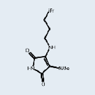 CNC1=C(NCCCC(C)C)C(=O)NC1=O